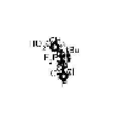 CC(C)(C)C#CCN(CC(=O)c1c(Cl)cc(F)cc1Cl)C(=O)c1cnn([C@H]2CC[C@](C)(C(=O)O)CC2)c1C(F)(F)F